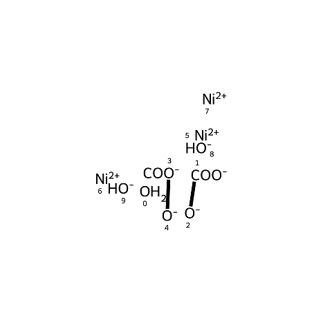 O.O=C([O-])[O-].O=C([O-])[O-].[Ni+2].[Ni+2].[Ni+2].[OH-].[OH-]